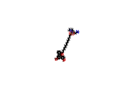 COc1ccc(C(OCCCCCCCCCCCCCCCCOP(OCCC#N)N(C(C)C)C(C)C)(c2ccccc2)c2ccc(OC)cc2)cc1